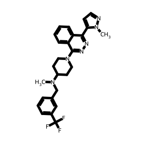 CN(Cc1cccc(C(F)(F)F)c1)C1CCN(c2nnc(-c3ccnn3C)c3ccccc23)CC1